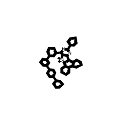 C[Si]1(C)c2c(-c3cccc(-c4cccc(-c5ccc(-c6ccccc6)cc5)c4)c3)nc(-c3ccccc3)nc2-c2c1c1ccccc1c1ccccc21